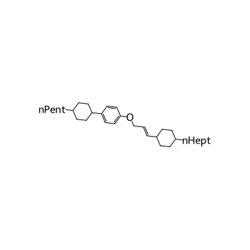 CCCCCCCC1CCC(/C=C/COc2ccc(C3CCC(CCCCC)CC3)cc2)CC1